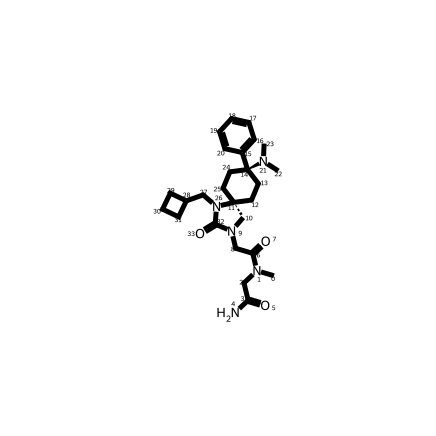 CN(CC(N)=O)C(=O)CN1C[C@]2(CC[C@](c3ccccc3)(N(C)C)CC2)N(CC2CCC2)C1=O